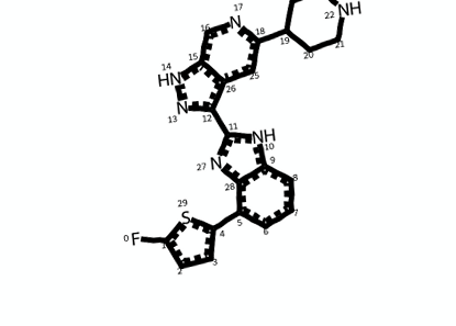 Fc1ccc(-c2cccc3[nH]c(-c4n[nH]c5cnc(C6CCNCC6)cc45)nc23)s1